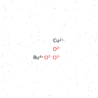 [Cu+2].[O-2].[O-2].[O-2].[Ru+4]